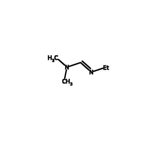 CCN=CN(C)C